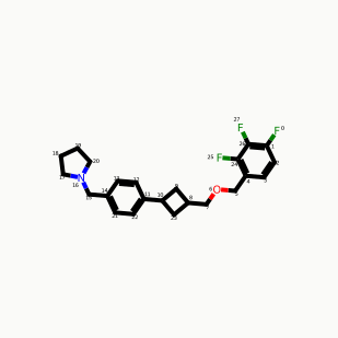 Fc1ccc(COCC2CC(c3ccc(CN4CCCC4)cc3)C2)c(F)c1F